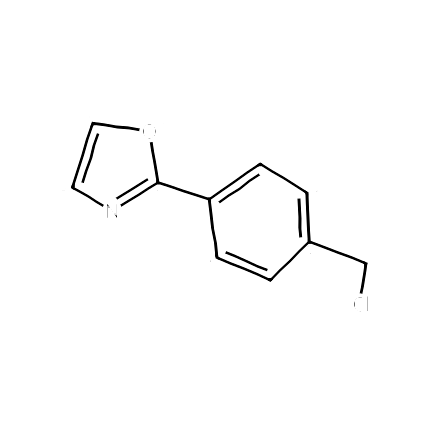 ClCc1ccc(-c2ncco2)cc1